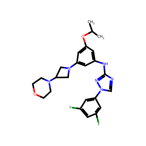 CC(C)Oc1cc(Nc2ncn(-c3cc(F)cc(F)c3)n2)cc(N2CC(N3CCOCC3)C2)c1